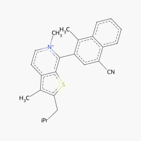 Cc1c(-c2c3sc(CC(C)C)c(C)c3cc[n+]2C)cc(C#N)c2ccccc12